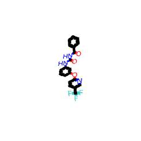 O=C(NC(=O)c1ccccc1)Nc1cccc(Oc2ccc(C(F)(F)F)cn2)c1